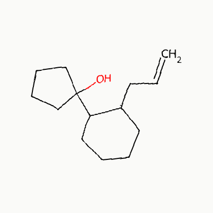 C=CC[C]1CCCCC1C1(O)CCCC1